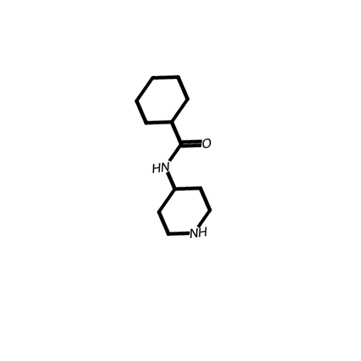 O=C(NC1CCNCC1)C1CCCCC1